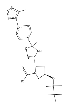 Cc1ncsc1-c1ccc(C2(C)NC([C@@H]3C[C@@H](O[Si](C)(C)C(C)(C)C)CN3C(=O)O)=NO2)cc1